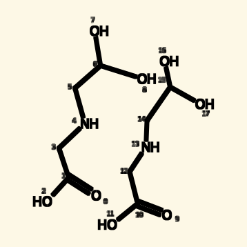 O=C(O)CNCC(O)O.O=C(O)CNCC(O)O